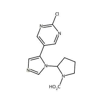 O=C(O)N1CCCC1n1cncc1-c1cnc(Cl)nc1